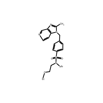 CCCN(CCOCC)S(=O)(=O)c1ccc(Cn2c(C)nc3cnccc32)cc1